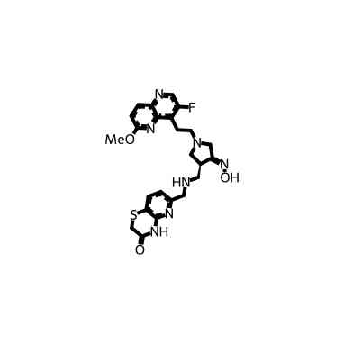 COc1ccc2ncc(F)c(CCN3CC(=NO)[C@@H](CNCc4ccc5c(n4)NC(=O)CS5)C3)c2n1